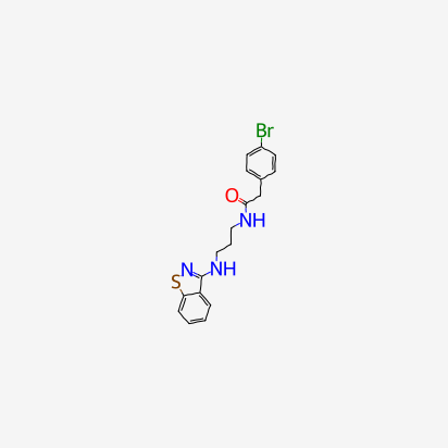 O=C(Cc1ccc(Br)cc1)NCCCNc1nsc2ccccc12